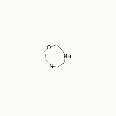 C1CNCCOCC[N]1